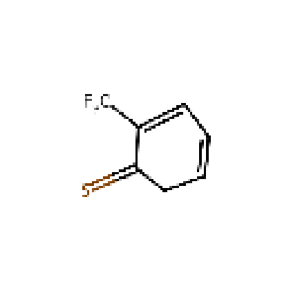 FC(F)(F)C1=CC=CCC1=S